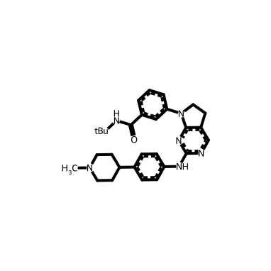 CN1CCC(c2ccc(Nc3ncc4c(n3)N(c3cccc(C(=O)NC(C)(C)C)c3)CC4)cc2)CC1